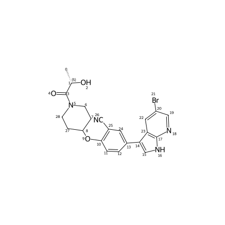 C[C@H](O)C(=O)N1CCC(Oc2ccc(-c3c[nH]c4ncc(Br)cc34)cc2C#N)CC1